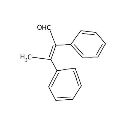 CC(=C(C=O)c1ccccc1)c1ccccc1